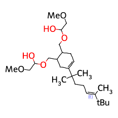 COCC(O)OCC1CC=C(C(C)(C)CC/C=C(\C)C(C)(C)C)CC1COC(O)COC